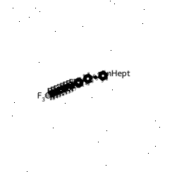 CCCCCCC[C@H]1CC[C@H](CC[C@H]2CC[C@H](c3ccc(C(F)(F)C(F)(F)C(F)(F)C(F)(F)C(F)(F)C(F)(F)C(F)(F)C(F)(F)C(F)(F)F)cc3)CC2)CC1